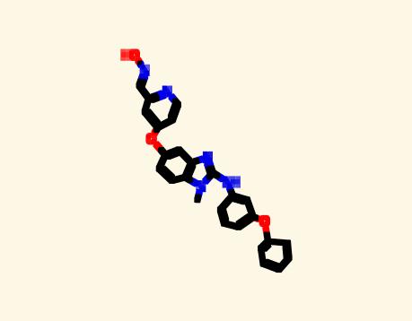 Cn1c(Nc2cccc(Oc3ccccc3)c2)nc2cc(Oc3ccnc(/C=N/O)c3)ccc21